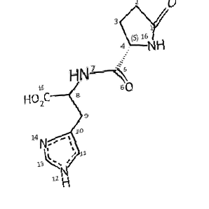 O=C1CC[C@@H](C(=O)NC(Cc2c[nH]cn2)C(=O)O)N1